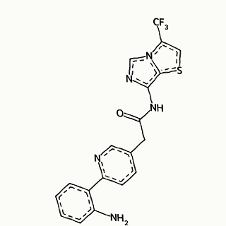 Nc1ccccc1-c1ccc(CC(=O)Nc2ncn3c(C(F)(F)F)csc23)cn1